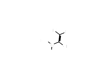 CC(=C(F)F)N(C)C(F)(F)F